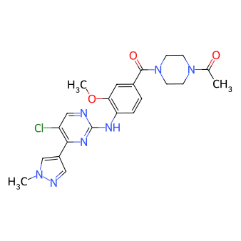 COc1cc(C(=O)N2CCN(C(C)=O)CC2)ccc1Nc1ncc(Cl)c(-c2cnn(C)c2)n1